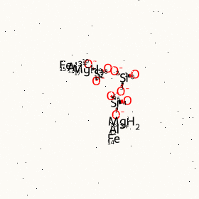 O=[Si]([O-])[O-].O=[Si]([O-])[O-].O=[Si]([O-])[O-].[Al+3].[Al+3].[Fe].[Fe].[MgH2].[MgH2]